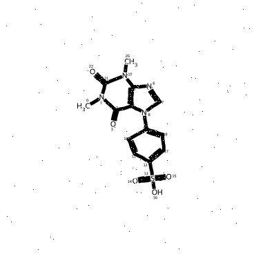 Cn1c(=O)c2c(ncn2-c2ccc(S(=O)(=O)O)cc2)n(C)c1=O